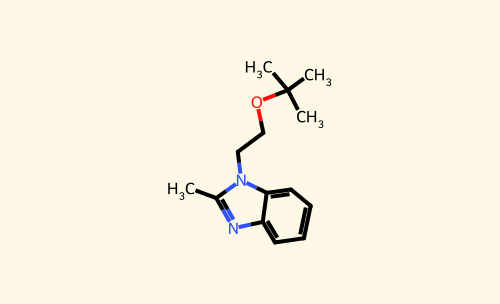 Cc1nc2ccccc2n1CCOC(C)(C)C